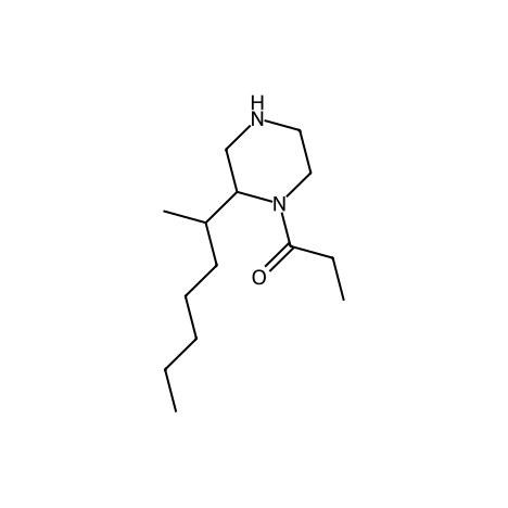 CCCCCC(C)C1CNCCN1C(=O)CC